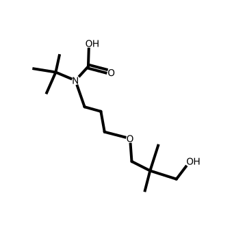 CC(C)(CO)COCCCN(C(=O)O)C(C)(C)C